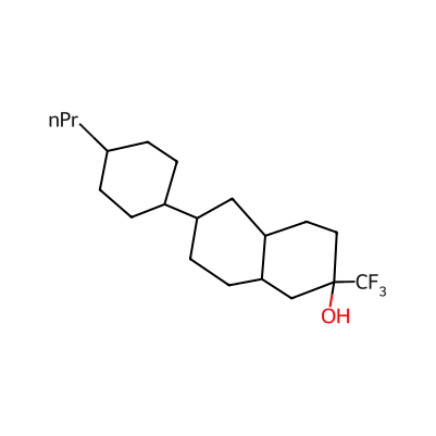 CCCC1CCC(C2CCC3CC(O)(C(F)(F)F)CCC3C2)CC1